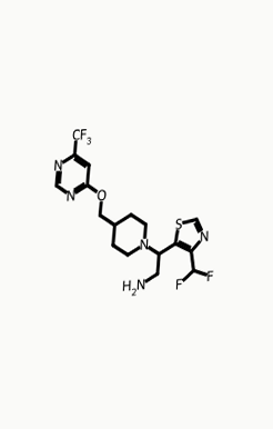 NCC(c1scnc1C(F)F)N1CCC(COc2cc(C(F)(F)F)ncn2)CC1